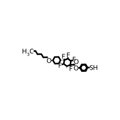 CCCCCCO[C@H]1CC[C@H](C2(F)C(F)[CH]C(F)(C(=O)Oc3ccc(S)cc3)C(F)C2F)CC1